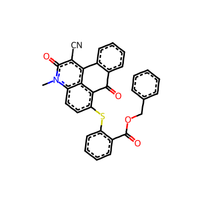 Cn1c(=O)c(C#N)c2c3c(c(Sc4ccccc4C(=O)OCc4ccccc4)ccc31)C(=O)c1ccccc1-2